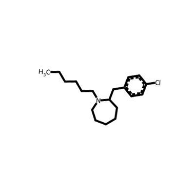 CCCCCCN1CCCCCC1Cc1ccc(Cl)cc1